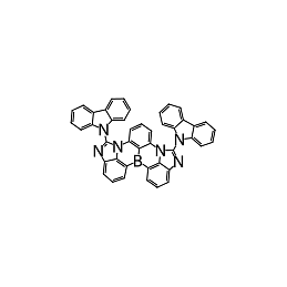 c1cc2c3c(c1)-n1c(-n4c5ccccc5c5ccccc54)nc4cccc(c41)B3c1cccc3nc(-n4c5ccccc5c5ccccc54)n-2c13